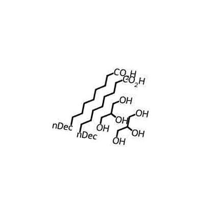 CCCCCCCCCCCCCCCCCC(=O)O.CCCCCCCCCCCCCCCCCC(=O)O.OCC(O)CO.OCC(O)CO